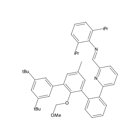 COCOc1c(-c2cc(C(C)(C)C)cc(C(C)(C)C)c2)cc(C)cc1-c1ccccc1-c1cccc(C=Nc2c(C(C)C)cccc2C(C)C)n1